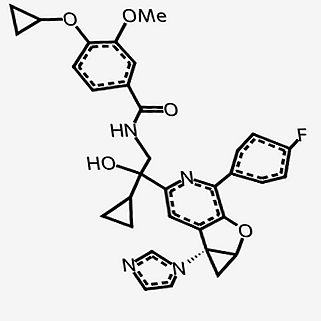 COc1cc(C(=O)NCC(O)(c2cc3c(c(-c4ccc(F)cc4)n2)OC2C[C@@]32n2ccnc2)C2CC2)ccc1OC1CC1